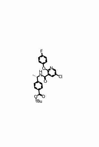 C[C@H](NC(=O)c1cc(Cl)cnc1Oc1ccc(F)cc1)c1ccc(C(=O)OC(C)(C)C)cc1